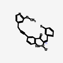 COc1cc(CC#Cc2ccc3c(c2)C(=O)/C(=C\c2cccc(F)c2)[S+]([O-])N3)ccn1